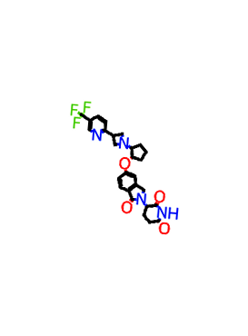 O=C1CCC(N2Cc3cc(OC4CCCC4N4CC(c5ccc(C(F)(F)F)cn5)C4)ccc3C2=O)C(=O)N1